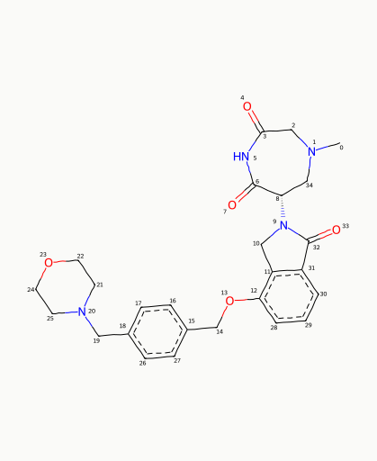 CN1CC(=O)NC(=O)[C@@H](N2Cc3c(OCc4ccc(CN5CCOCC5)cc4)cccc3C2=O)C1